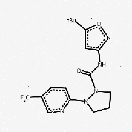 CC(C)(C)c1cc(NC(=O)N2CCCN2c2ccc(C(F)(F)F)cn2)no1